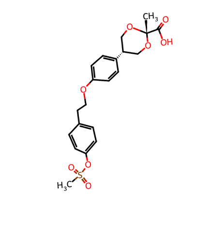 CS(=O)(=O)Oc1ccc(CCOc2ccc([C@H]3CO[C@@](C)(C(=O)O)OC3)cc2)cc1